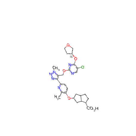 Cc1nc(-c2nnn(C)c2COc2ncc(Cl)c(O[C@H]3CCOC3)n2)ccc1OC1CC2CCC(C(=O)O)C2C1